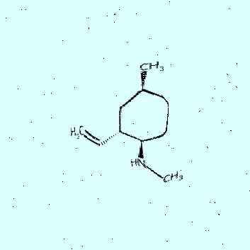 C=C[C@@H]1C[C@@H](C)CC[C@H]1NC